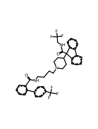 O=C(NCCCCN1CCC(C2(C(=O)NCC(F)(F)F)c3ccccc3-c3ccccc32)CC1)c1ccccc1-c1ccc(C(F)(F)F)cc1